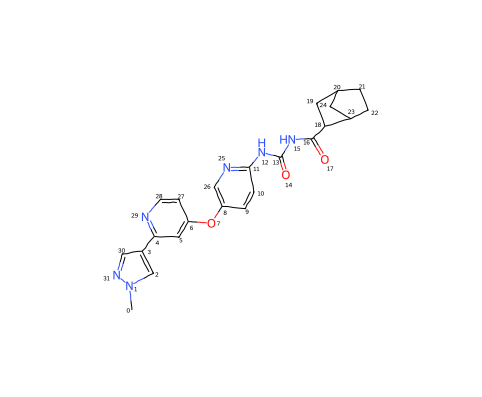 Cn1cc(-c2cc(Oc3ccc(NC(=O)NC(=O)C4CC5CCC4C5)nc3)ccn2)cn1